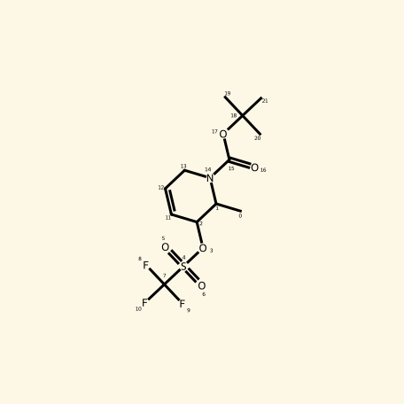 CC1C(OS(=O)(=O)C(F)(F)F)C=CCN1C(=O)OC(C)(C)C